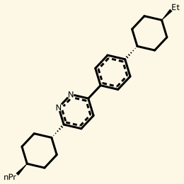 CCC[C@H]1CC[C@H](c2ccc(-c3ccc([C@H]4CC[C@H](CC)CC4)cc3)nn2)CC1